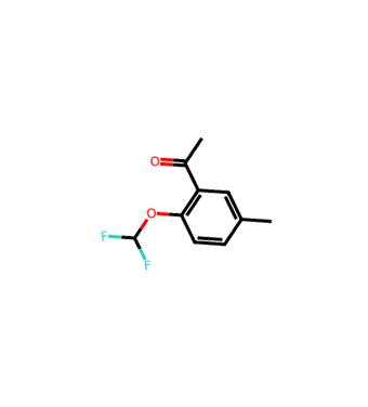 CC(=O)c1cc(C)ccc1OC(F)F